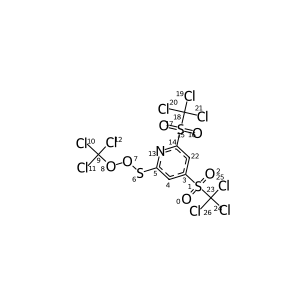 O=S(=O)(c1cc(SOOC(Cl)(Cl)Cl)nc(S(=O)(=O)C(Cl)(Cl)Cl)c1)C(Cl)(Cl)Cl